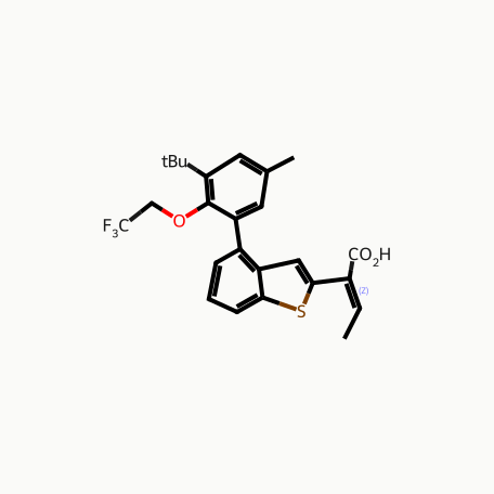 C/C=C(/C(=O)O)c1cc2c(-c3cc(C)cc(C(C)(C)C)c3OCC(F)(F)F)cccc2s1